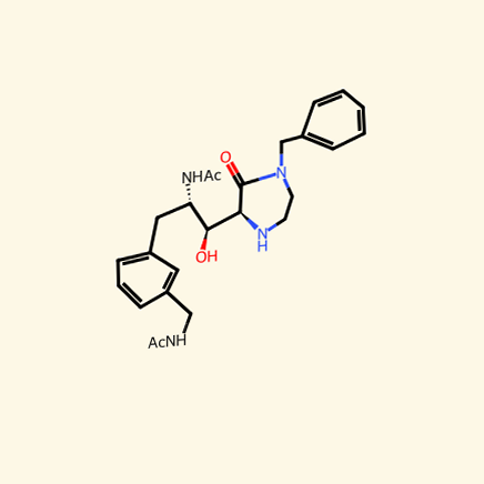 CC(=O)NCc1cccc(C[C@H](NC(C)=O)[C@H](O)[C@@H]2NCCN(Cc3ccccc3)C2=O)c1